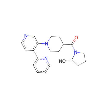 N#C[C@H]1CCCN1C(=O)C1CCN(c2cnccc2-c2ccccn2)CC1